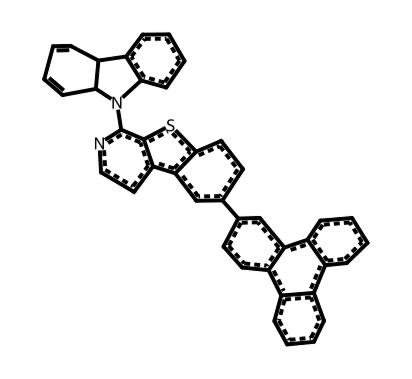 C1=CC2c3ccccc3N(c3nccc4c3sc3ccc(-c5ccc6c7ccccc7c7ccccc7c6c5)cc34)C2C=C1